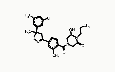 Cc1cc(C2=NOC(c3cc(Cl)cc(C(F)(F)F)c3)(C(F)(F)F)C2)ccc1C(=O)N1CC(=O)N(CCC(F)(F)F)C(O)C1